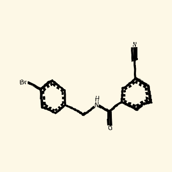 N#Cc1cccc(C(=O)NCc2ccc(Br)cc2)c1